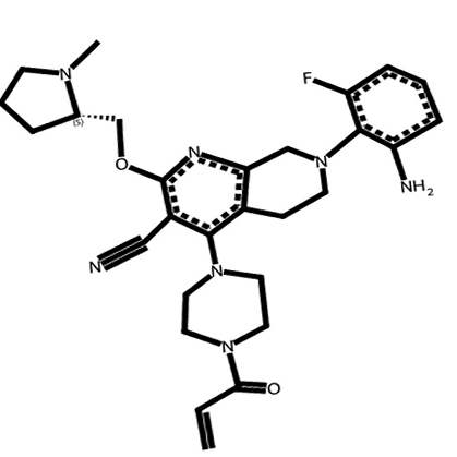 C=CC(=O)N1CCN(c2c(C#N)c(OC[C@@H]3CCCN3C)nc3c2CCN(c2c(N)cccc2F)C3)CC1